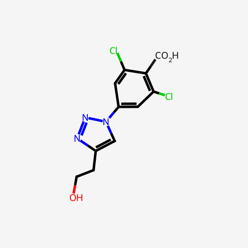 O=C(O)c1c(Cl)cc(-n2cc(CCO)nn2)cc1Cl